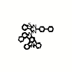 c1ccc(-c2ccc(-c3nc(-n4c5ccc6ccccc6c5c5c6c7ccccc7n7c8ccccc8c(cc54)c67)c4c(n3)sc3ccccc34)cc2)cc1